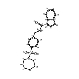 O=C(NCc1ccc(S(=O)(=O)N2CCCCCC2)cc1)n1ccc2ccccc21